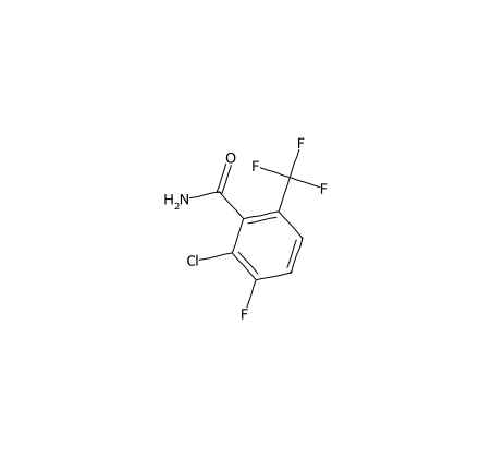 NC(=O)c1c(C(F)(F)F)ccc(F)c1Cl